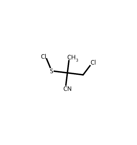 CC(C#N)(CCl)SCl